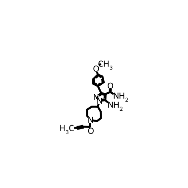 CC#CC(=O)N1CCCC(n2nc(-c3ccc(OC)cc3)c(C(N)=O)c2N)CCC1